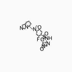 O=S(=O)(Nc1nc[n+]([O-])s1)c1cc2c(cc1F)N(Cc1cccc3cncn13)CO2